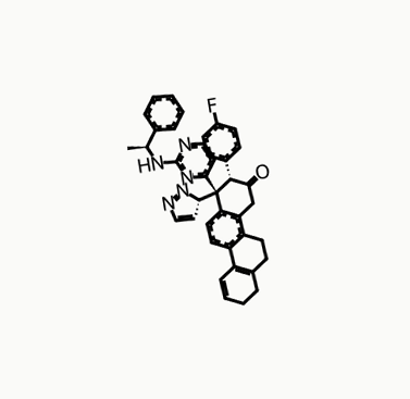 C[C@H](Nc1nccc([C@]2([C@@H]3C=CN=N3)c3ccc4c(c3CC(=O)[C@H]2c2ccc(F)cc2)CCC2=C4C=CCC2)n1)c1ccccc1